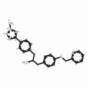 CC(Cc1ccc(OCc2ccccn2)cc1)Cc1ccc(-c2nnn(C)n2)cc1